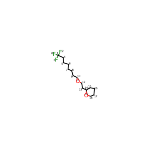 FC(F)(F)CCCCCCCOCCC1CCCCO1